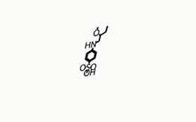 CCC(CNc1ccc(S(=O)(=O)O)cc1)OC